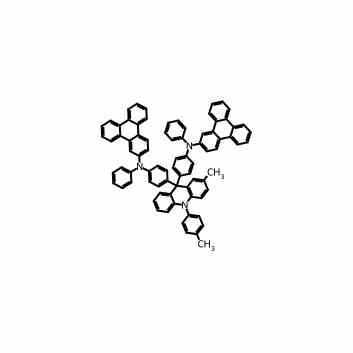 Cc1ccc(N2c3ccccc3C(c3ccc(N(c4ccccc4)c4ccc5c6ccccc6c6ccccc6c5c4)cc3)(c3ccc(N(c4ccccc4)c4ccc5c6ccccc6c6ccccc6c5c4)cc3)c3cc(C)ccc32)cc1